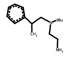 CC(CN(CCN)C(C)(C)C)c1ccccc1